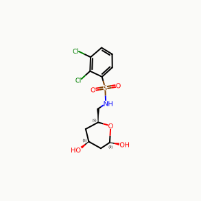 O=S(=O)(NC[C@@H]1C[C@H](O)C[C@H](O)O1)c1cccc(Cl)c1Cl